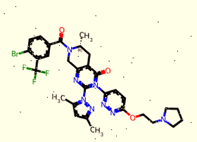 Cc1cc(C)n(-c2nc3c(c(=O)n2-c2ccc(OCCN4CCCC4)nn2)C[C@@H](C)N(C(=O)c2ccc(Br)c(C(F)(F)F)c2)C3)n1